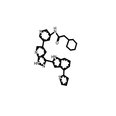 O=C(CC1CCCCC1)Nc1cncc(-c2cnc3[nH]nc(-c4cc5c(-c6cccs6)cccc5[nH]4)c3c2)c1